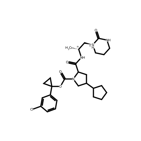 C[C@H](C[Si@@H]1CCCNC1=O)NC(=O)C1CC(C2CCCC2)CN1C(=O)OC1(c2cccc(Cl)c2)CC1